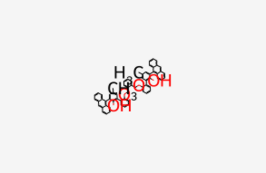 Cc1cc(-c2ccccc2OCc2ccccc2COc2ccccc2-c2cc(C)cc(-c3c4ccccc4cc4ccccc34)c2O)c(O)c(-c2c3ccccc3cc3ccccc23)c1